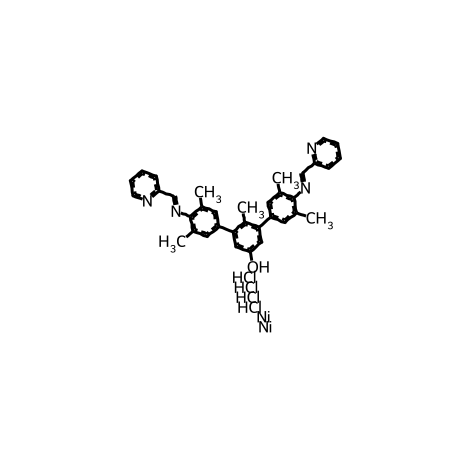 Cc1cc(-c2cc(O)cc(-c3cc(C)c(N=Cc4ccccn4)c(C)c3)c2C)cc(C)c1N=Cc1ccccn1.Cl.Cl.Cl.Cl.[Ni].[Ni]